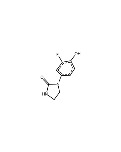 O=C1NCCN1c1ccc(O)c(F)c1